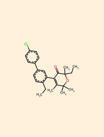 CCc1ccc(-c2ccc(Cl)cc2)cc1C1=C(C)C(C)(C)OC(C)(CC)C1=O